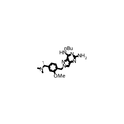 CCCCNc1nc(N)nc2cn(Cc3ccc([C@@H](C)N(C)C)cc3OC)nc12